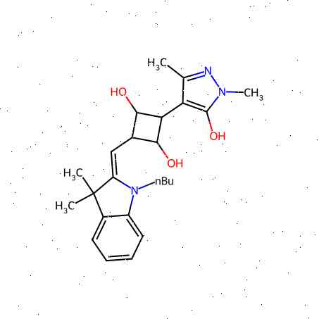 CCCCN1C(=CC2C(O)C(c3c(C)nn(C)c3O)C2O)C(C)(C)c2ccccc21